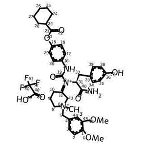 COc1ccc(C[N+]2(C)CCC/C(=[N+](\C(=O)Nc3ccc(OC(=O)C4CCCCC4)cc3)[C@@H](Cc3ccc(O)cc3)C(N)=O)C2)cc1OC.O=C(O)C(F)(F)F